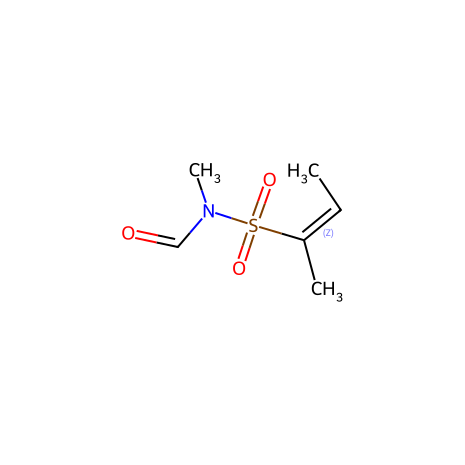 C/C=C(/C)S(=O)(=O)N(C)C=O